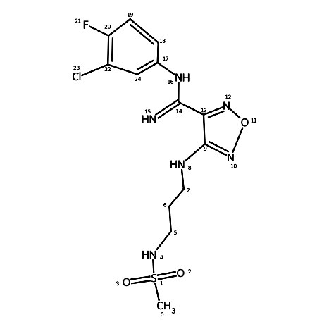 CS(=O)(=O)NCCCNc1nonc1C(=N)Nc1ccc(F)c(Cl)c1